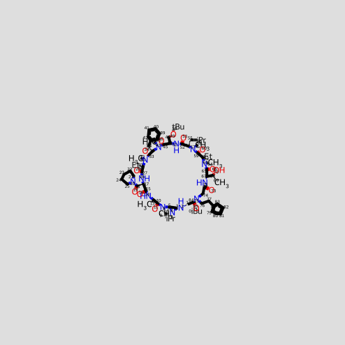 CC[C@H](C)[C@@H]1NC2=N[C@@]2(CC(C)C)N(C)C(=O)[C@@H](C)NC(=O)[C@@H](C(=O)N2CCCCC2)NC(=O)[C@H](CC)N(C)C(=O)[C@H](Cc2ccccc2)N(C)C(=O)C(COC(C)(C)C)NC(=O)[C@H](CC(C)C)N(C)C(=O)[C@H](CC)N(C)C(=O)[C@H]([C@@H](C)O)NC(=O)CN(CCc2ccccc2)C1=O